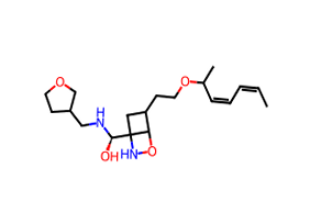 C/C=C\C=C/C(C)OCCC1CC2([C@@H](O)NCC3CCOC3)NOC12